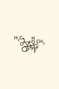 C=CC(=O)OC1(C(F)(F)C(O)(CC)C(F)(F)F)CC2CCC1C2